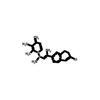 C=C1C=CN(N(N)/C=C(\N)c2ccc3c(c2)CCC(CC)=C3)C(C)=C1C